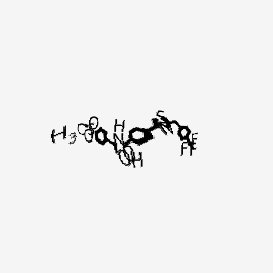 CCS(=O)(=O)c1ccc(C(CO)NC(=O)c2ccc(-c3csc(Cc4ccc(C(F)(F)F)cc4)n3)cc2)cc1